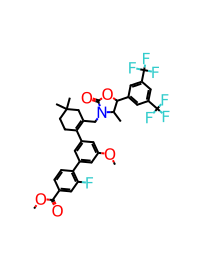 COC(=O)c1ccc(-c2cc(OC)cc(C3=C(CN4C(=O)OC(c5cc(C(F)(F)F)cc(C(F)(F)F)c5)C4C)CC(C)(C)CC3)c2)c(F)c1